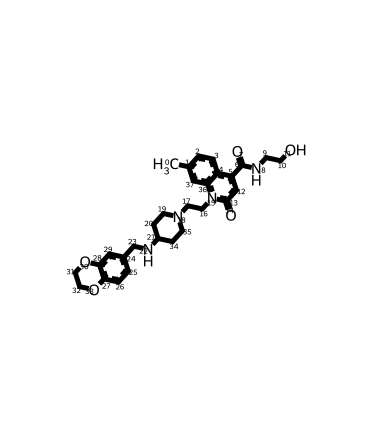 Cc1ccc2c(C(=O)NCCO)cc(=O)n(CCN3CCC(NCc4ccc5c(c4)OCCO5)CC3)c2c1